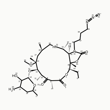 CC[C@H]1OC(=O)[C@H](C)C(=O)[C@H](C)[C@@H](O[C@@H]2OC(C)CC(N)C2O)[C@](C)(OC)C[C@@H](C)CN[C@H](C)[C@H]2N(CCCCN=[N+]=[N-])C(=O)O[C@]12C